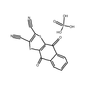 N#Cc1sc2c(=O)c3ccccc3c(=O)c=2sc1C#N.O=P(O)(O)O